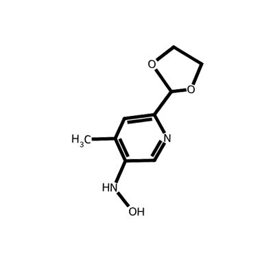 Cc1cc(C2OCCO2)ncc1NO